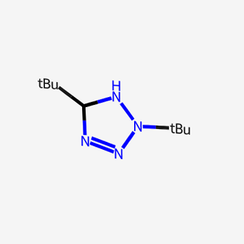 CC(C)(C)C1N=NN(C(C)(C)C)N1